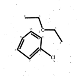 CCOCC.Clc1ccccc1